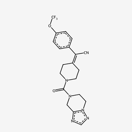 N#CC(=C1CCN(C(=O)N2CCn3ncnc3C2)CC1)c1ccc(OC(F)(F)F)cc1